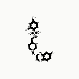 O=S(=O)(NCC1CCN(C[C@H]2COc3ccc(Cl)cc3O2)CC1)c1ccc(F)cc1F